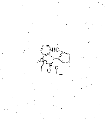 CCOP(=O)(OCC)C(c1ccccc1O)c1ccccc1OC